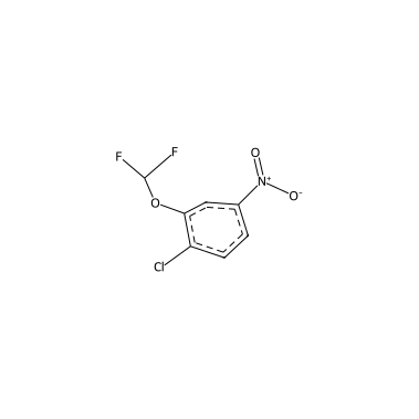 O=[N+]([O-])c1ccc(Cl)c(OC(F)F)c1